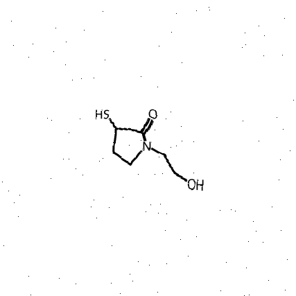 O=C1C(S)CCN1CCO